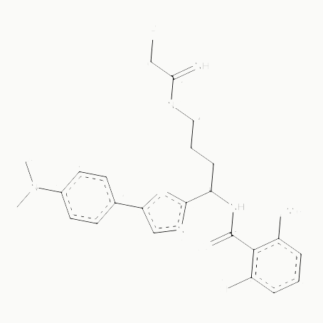 COc1cccc(Cl)c1C(=O)NC(CCCNC(=N)CF)c1ncc(-c2ccc(N(C)C)cc2)o1